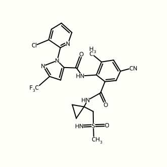 Cc1cc(C#N)cc(C(=O)NC2(CS(C)(=N)=O)CC2)c1NC(=O)c1cc(C(F)(F)F)nn1-c1ncccc1Cl